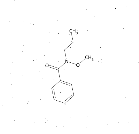 CCCN(OC)C(=O)c1cc[c]cc1